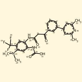 Cc1cc(-c2cccc(C(=O)CC(=O)Nc3cc(C(F)(F)F)c(N(C)C)cc3NC(=O)O)c2)cc(C)n1